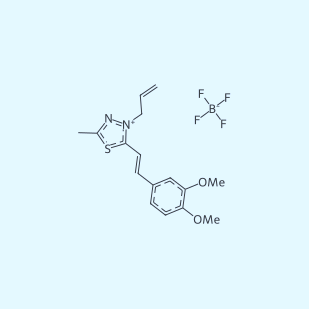 C=CC[n+]1nc(C)sc1C=Cc1ccc(OC)c(OC)c1.F[B-](F)(F)F